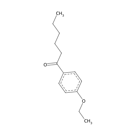 CCCCCC(=O)c1ccc(OCC)cc1